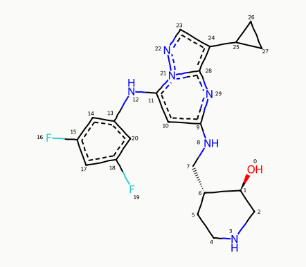 O[C@H]1CNCC[C@@H]1CNc1cc(Nc2cc(F)cc(F)c2)n2ncc(C3CC3)c2n1